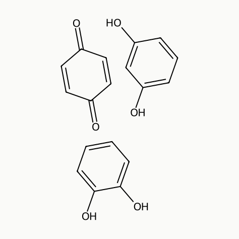 O=C1C=CC(=O)C=C1.Oc1cccc(O)c1.Oc1ccccc1O